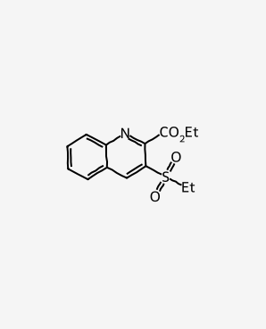 CCOC(=O)c1nc2ccccc2cc1S(=O)(=O)CC